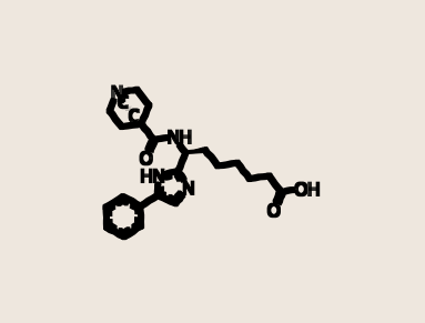 O=C(O)CCCCC[C@H](NC(=O)C12CCN(CC1)CC2)c1ncc(-c2ccccc2)[nH]1